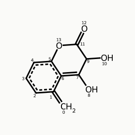 C=c1cccc2c1=C(O)C(O)C(=O)O2